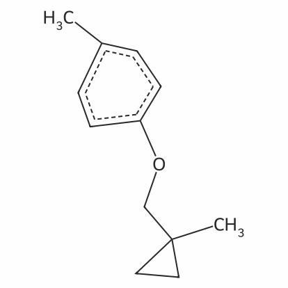 Cc1ccc(OCC2(C)CC2)cc1